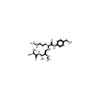 CC(C)[C@H](NC(=O)[C@H](N)C(C)C)/C(=C/N[C@@H](CCCNN)C(=O)Nc1ccc(CO)cc1)N=N